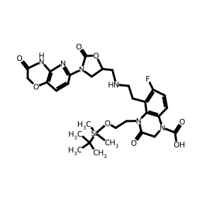 CC(C)(C)[Si](C)(C)OCCN1C(=O)CN(C(=O)O)c2ccc(F)c(CCNCC3CN(c4ccc5c(n4)NC(=O)CO5)C(=O)O3)c21